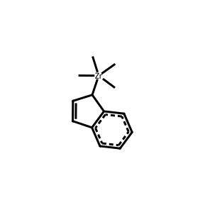 [CH3][Zr]([CH3])([CH3])([CH3])[CH]1C=Cc2ccccc21